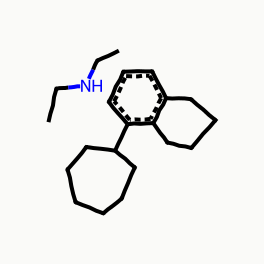 CCNCC.c1cc2c(c(C3CCCCCC3)c1)CCCC2